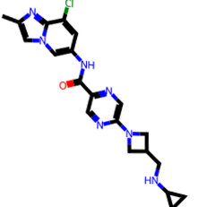 Cc1cn2cc(NC(=O)c3cnc(N4CC(CNC5CC5)C4)cn3)cc(Cl)c2n1